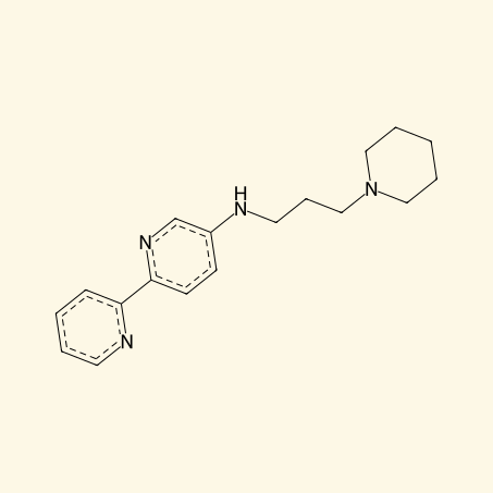 c1ccc(-c2ccc(NCCCN3CCCCC3)cn2)nc1